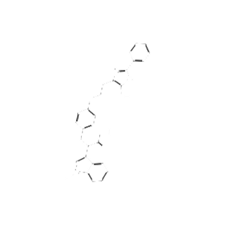 Cc1oc(-c2ccccc2)nc1CCOc1ccc(CC(C(=O)O)c2cn(C)c3ccccc23)cc1